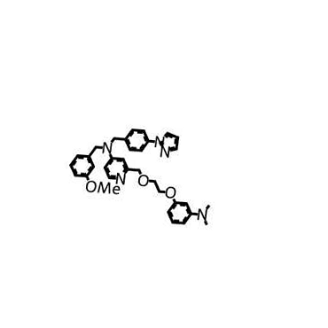 COc1cccc(CN(Cc2ccc(-n3cccn3)cc2)c2ccnc(COCCOc3cccc(N(C)C)c3)c2)c1